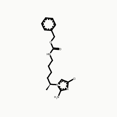 C[C@@H](CCCCNC(=O)OCc1ccccc1)n1cc(Cl)nc1N